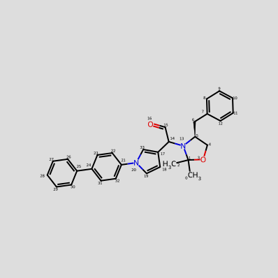 CC1(C)OC[C@H](Cc2ccccc2)N1C(C=O)c1ccn(-c2ccc(-c3ccccc3)cc2)c1